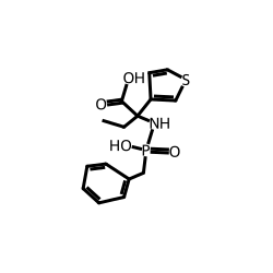 CCC(NP(=O)(O)Cc1ccccc1)(C(=O)O)c1ccsc1